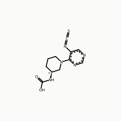 O=C(O)N[C@H]1CCCN(c2ncncc2N=C=S)C1